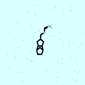 C=COCC1CC2C3CCC(C3)C2C1